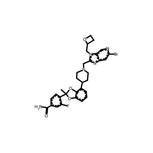 CC1(c2ccc(C(N)=O)cc2F)Oc2cccc(C3CCN(Cc4nc5cc(Br)ncc5n4CC4CCO4)CC3)c2O1